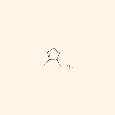 CCn1cccc1F